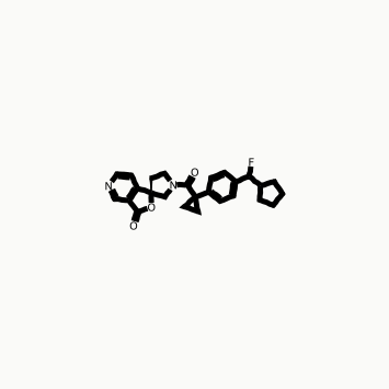 O=C1O[C@]2(CCN(C(=O)C3(c4ccc(C(F)C5CCCC5)cc4)CC3)C2)c2ccncc21